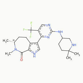 C[C@@H]1CCc2c(-c3nc(NC4CCC(C)(C)NC4)ncc3C(F)(F)F)c[nH]c2C(=O)N1C